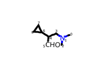 CN(C)CC(C=O)C1CC1